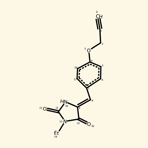 C#CCOc1ccc(/C=C2\NC(=O)N(CC)C2=O)cc1